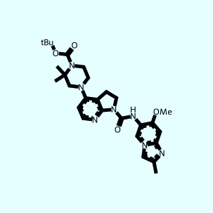 COc1cc2nc(C)cn2cc1NC(=O)N1CCc2c(N3CCN(C(=O)OC(C)(C)C)C(C)(C)C3)ccnc21